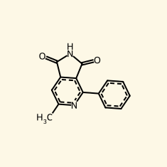 Cc1cc2c(c(-c3ccccc3)n1)C(=O)NC2=O